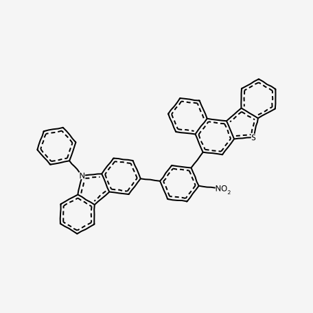 O=[N+]([O-])c1ccc(-c2ccc3c(c2)c2ccccc2n3-c2ccccc2)cc1-c1cc2sc3ccccc3c2c2ccccc12